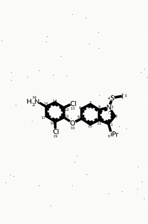 CC(C)c1cn(SI)c2ccc(Oc3c(Cl)cc(N)cc3Cl)cc12